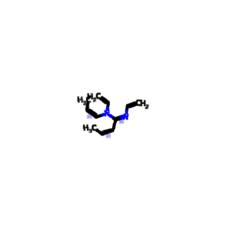 C=C/N=C(/C=C\C)N(C=C)/C=C\C